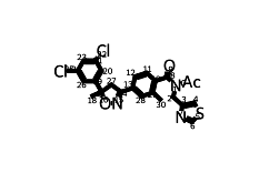 CC(=O)N(Cc1cscn1)C(=O)c1ccc(C2=NOC(C)(c3cc(Cl)cc(Cl)c3)C2)cc1C